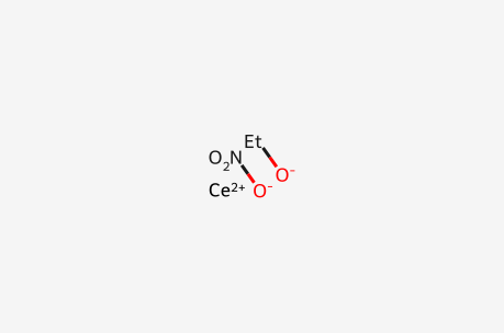 CC[O-].O=[N+]([O-])[O-].[Ce+2]